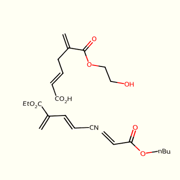 C=C(C=CC#N)C(=O)OCC.C=C(CC=CC(=O)O)C(=O)OCCO.C=CC(=O)OCCCC